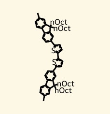 CCCCCCCCC1(CCCCCCCC)c2cc(C)ccc2-c2ccc(-c3ccc(-c4ccc(-c5ccc6c(c5)C(CCCCCCCC)(CCCCCCCC)c5cc(C)ccc5-6)s4)s3)cc21